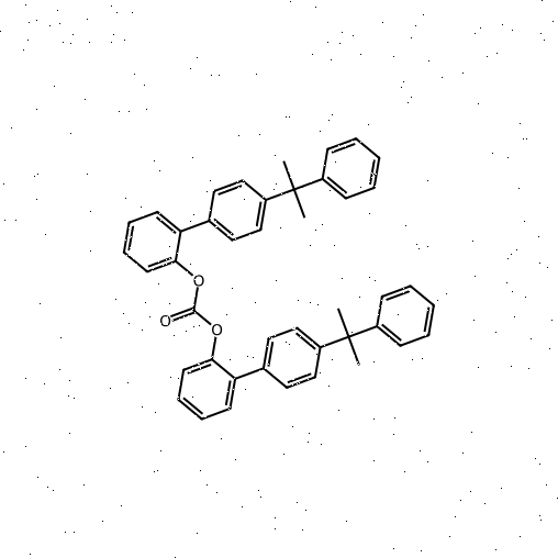 CC(C)(c1ccccc1)c1ccc(-c2ccccc2OC(=O)Oc2ccccc2-c2ccc(C(C)(C)c3ccccc3)cc2)cc1